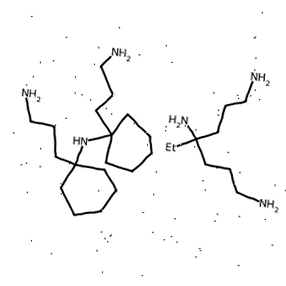 CCC(N)(CCCN)CCCN.NCCCC1(NC2(CCCN)CCCCC2)CCCCC1